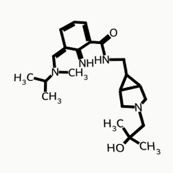 CC(C)N(C)/C=C1/C=CC=C(C(=O)NCC2C3CN(CC(C)(C)O)CC23)C1=N